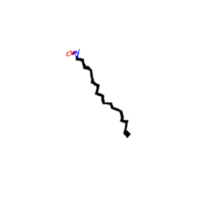 C=CCCCCCCCCCCCCCCN=O